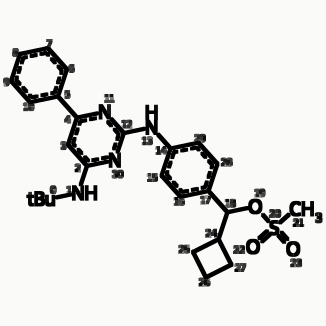 CC(C)(C)Nc1cc(-c2ccccc2)nc(Nc2ccc(C(OS(C)(=O)=O)C3CCC3)cc2)n1